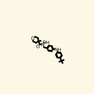 CC1(C(=O)N(O)Cc2ccc(Nc3ccc(C(C)(C)C)cc3)cc2)CCOCC1